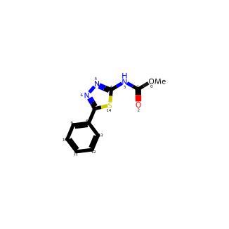 COC(=O)Nc1nnc(-c2ccccc2)s1